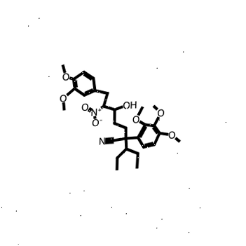 CCC(CC)C(C#N)(CCC(O)C(Cc1ccc(OC)c(OC)c1)[N+](=O)[O-])c1ccc(OC)c(OC)c1OC